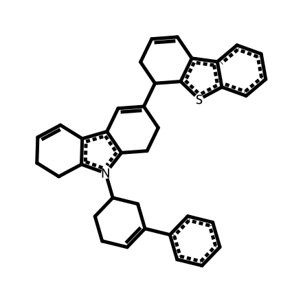 C1=Cc2c3c(n(C4CCC=C(c5ccccc5)C4)c2CC1)CCC(C1CC=Cc2c1sc1ccccc21)=C3